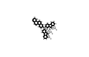 CC1(C)c2ccccc2-c2ccc(N(c3ccc4c(c3)C(C)(C)c3ccccc3-4)c3ccc4c(ccc5c6ccccc6ccc45)c3)cc21